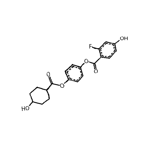 O=C(Oc1ccc(OC(=O)C2CCC(O)CC2)cc1)c1ccc(O)cc1F